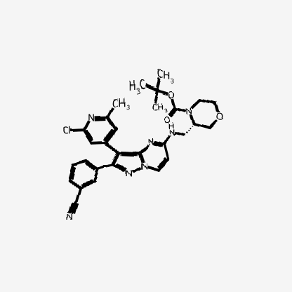 Cc1cc(-c2c(-c3cccc(C#N)c3)nn3ccc(NC[C@H]4COCCN4C(=O)OC(C)(C)C)nc23)cc(Cl)n1